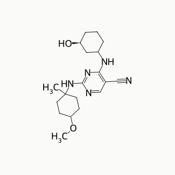 COC1CCC(C)(Nc2ncc(C#N)c(NC3CCC[C@H](O)C3)n2)CC1